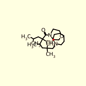 CC(C)CC(C)(C(=O)N1CCOCC1)C(C)CC(C)(C)CN1CCCCCC1